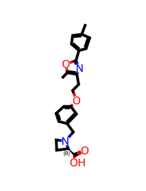 Cc1ccc(-c2nc(CCOc3cccc(CN4CC[C@@H]4C(=O)O)c3)c(C)o2)cc1